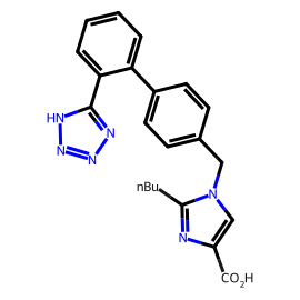 CCCCc1nc(C(=O)O)cn1Cc1ccc(-c2ccccc2-c2nnn[nH]2)cc1